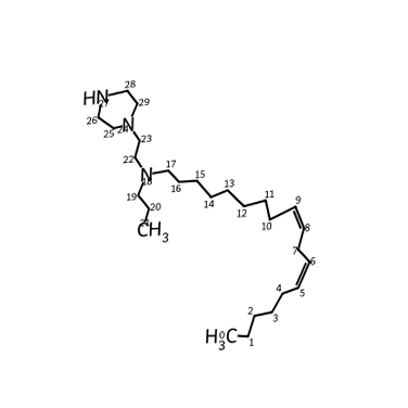 CCCCC/C=C\C/C=C\CCCCCCCCN(CCC)CCN1CCNCC1